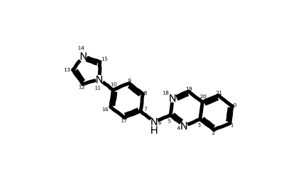 c1ccc2nc(Nc3ccc(-n4ccnc4)cc3)ncc2c1